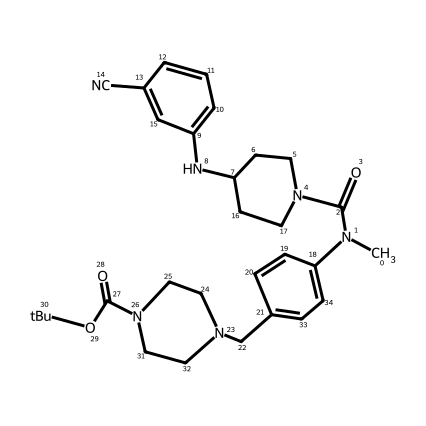 CN(C(=O)N1CCC(Nc2cccc(C#N)c2)CC1)c1ccc(CN2CCN(C(=O)OC(C)(C)C)CC2)cc1